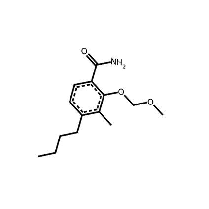 CCCCc1ccc(C(N)=O)c(OCOC)c1C